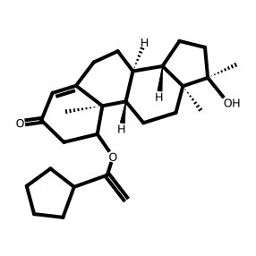 C=C(OC1CC(=O)C=C2CC[C@H]3[C@@H]4CC[C@@](C)(O)[C@@]4(C)CC[C@@H]3[C@]21C)C1CCCC1